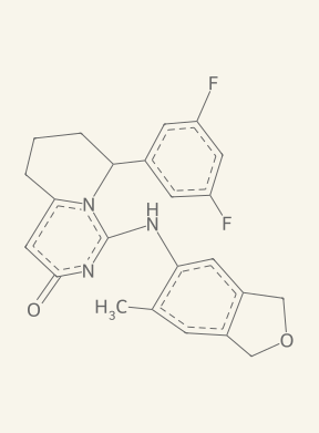 Cc1cc2c(cc1Nc1nc(=O)cc3n1C(c1cc(F)cc(F)c1)CCC3)COC2